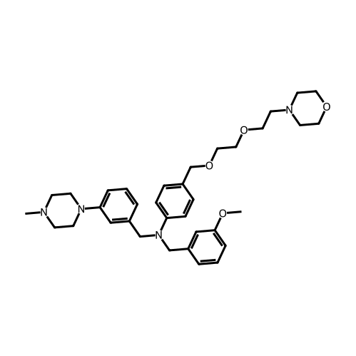 COc1cccc(CN(Cc2cccc(N3CCN(C)CC3)c2)c2ccc(COCCOCCN3CCOCC3)cc2)c1